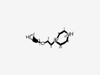 C#COCCN1CCNCC1